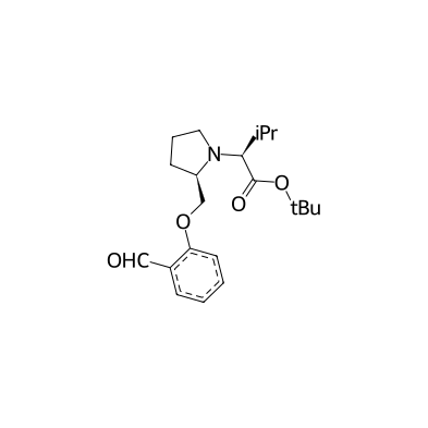 CC(C)[C@@H](C(=O)OC(C)(C)C)N1CCC[C@@H]1COc1ccccc1C=O